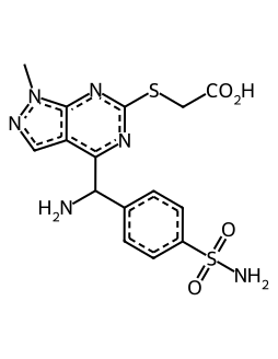 Cn1ncc2c(C(N)c3ccc(S(N)(=O)=O)cc3)nc(SCC(=O)O)nc21